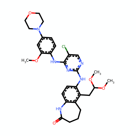 COc1cc(N2CCOCC2)ccc1Nc1nc(Nc2ccc3c(c2CC(OC)OC)CCCC(=O)N3)ncc1Cl